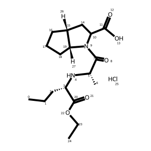 CCC[C@H](N[C@@H](C)C(=O)N1C(C(=O)O)C[C@H]2CCC[C@H]21)C(=O)OCC.Cl